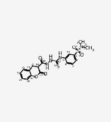 CN(C)S(=O)(=O)c1cccc(NC(=S)NNC(=O)C2Cc3ccccc3OC2=O)c1